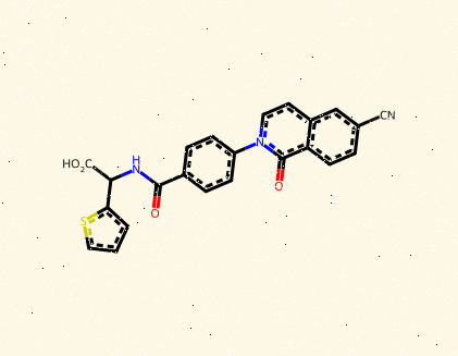 N#Cc1ccc2c(=O)n(-c3ccc(C(=O)NC(C(=O)O)c4cccs4)cc3)ccc2c1